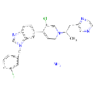 CC(Cc1cnccn1)N1C=C(Cl)C(c2ccc3ncn(Cc4cccc(F)c4)c3c2)=CC1.N